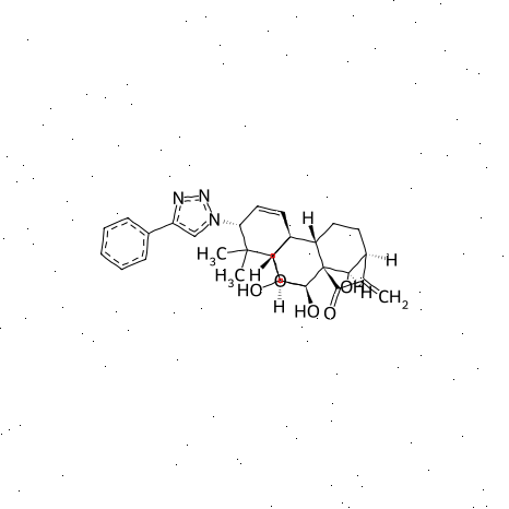 C=C1C(=O)[C@]23[C@H](O)[C@H]1CC[C@H]2[C@]12C=C[C@@H](n4cc(-c5ccccc5)nn4)C(C)(C)[C@H]1[C@H](O)[C@]3(O)OC2